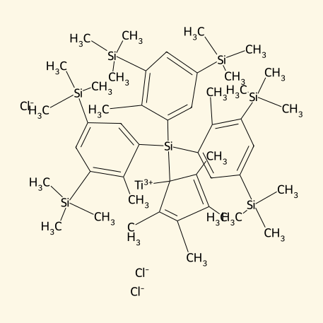 CC1=C(C)[C]([Ti+3])([Si](c2cc([Si](C)(C)C)cc([Si](C)(C)C)c2C)(c2cc([Si](C)(C)C)cc([Si](C)(C)C)c2C)c2cc([Si](C)(C)C)cc([Si](C)(C)C)c2C)C(C)=C1C.[Cl-].[Cl-].[Cl-]